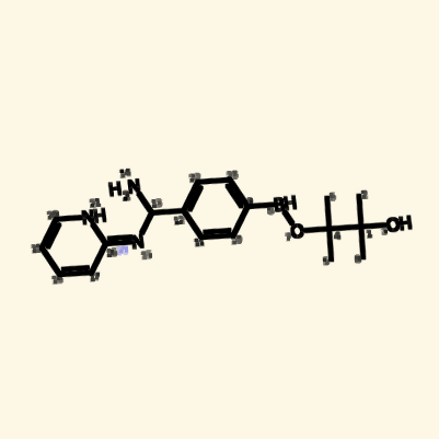 CC(C)(O)C(C)(C)OBc1ccc(C(N)/N=c2/cccc[nH]2)cc1